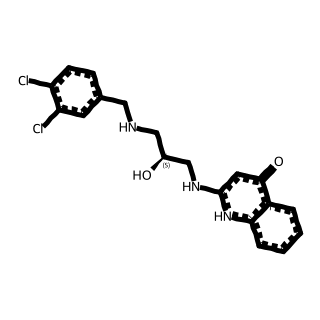 O=c1cc(NC[C@@H](O)CNCc2ccc(Cl)c(Cl)c2)[nH]c2ccccc12